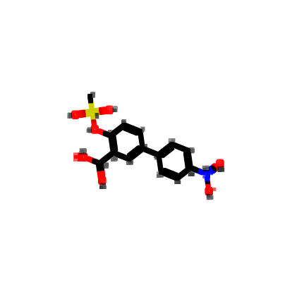 CS(=O)(=O)Oc1ccc(-c2ccc([N+](=O)[O-])cc2)cc1C(=O)O